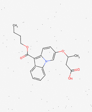 CCCCOC(=O)c1c2ccccc2n2cc(OC(C)CC(=O)O)ccc12